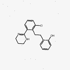 Oc1ccccc1CCc1c(Cl)cccc1C1=NCCCN1